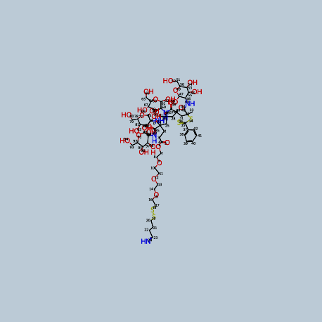 CC(CCC(=O)OCCOCCOCCOCCSSCCCC=N)(CC(C)(CC(C)(CC(C)(SC(=S)c1ccccc1)C(=O)NC1C(O)OC(CO)C(O)C1O)C(=O)NC1C(O)OC(CO)C(O)C1O)C(=O)NC1C(O)OC(CO)C(O)C1O)C(=O)NC1C(O)OC(CO)C(O)C1O